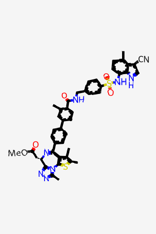 COC(=O)C[C@@H]1N=C(c2ccc(-c3ccc(C(=O)NCc4ccc(S(=O)(=O)Nc5ccc(C)c6c(C#N)c[nH]c56)cc4)c(C)c3)cc2)c2c(sc(C)c2C)-n2c(C)nnc21